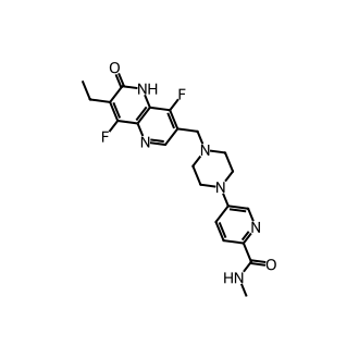 CCc1c(F)c2ncc(CN3CCN(c4ccc(C(=O)NC)nc4)CC3)c(F)c2[nH]c1=O